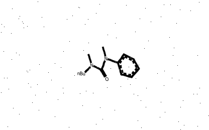 CCCCN(C)C(=O)N(C)c1ccccc1